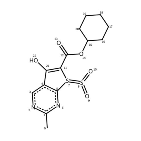 Cc1ncc2c(n1)S(=S(=O)=O)C(C(=O)OC1CCCCC1)=C2O